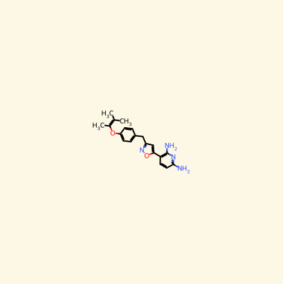 CC(C)=C(C)Oc1ccc(Cc2cc(-c3ccc(N)nc3N)on2)cc1